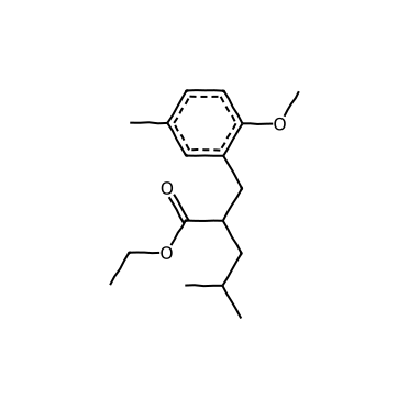 CCOC(=O)C(Cc1cc(C)ccc1OC)CC(C)C